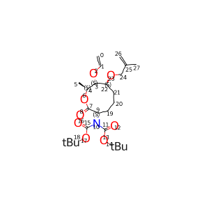 C=CO[C@H]1[C@H](C)OC(=O)[C@@H](N(C(=O)OC(C)(C)C)C(=O)OC(C)(C)C)CCC[C@@H]1OCC(=C)C